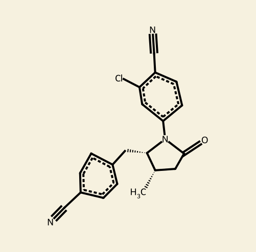 C[C@H]1CC(=O)N(c2ccc(C#N)c(Cl)c2)[C@H]1Cc1ccc(C#N)cc1